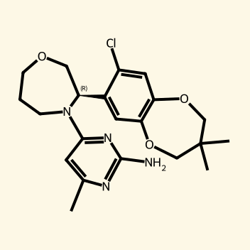 Cc1cc(N2CCCOC[C@H]2c2cc3c(cc2Cl)OCC(C)(C)CO3)nc(N)n1